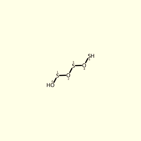 OSOSOS